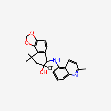 Cc1ccc2c(NC3c4ccc5c(c4C(C)(C)CC3(O)C(F)(F)F)OCO5)cccc2n1